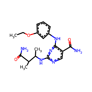 CCOc1cccc(Nc2nc(NC(C)C(C)C(N)=O)ncc2C(N)=O)c1